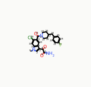 Cn1cc(C(=O)C(N)=O)c2cc(C(=O)N3CCC(Cc4ccc(F)cc4)CC3)c(Cl)cc21